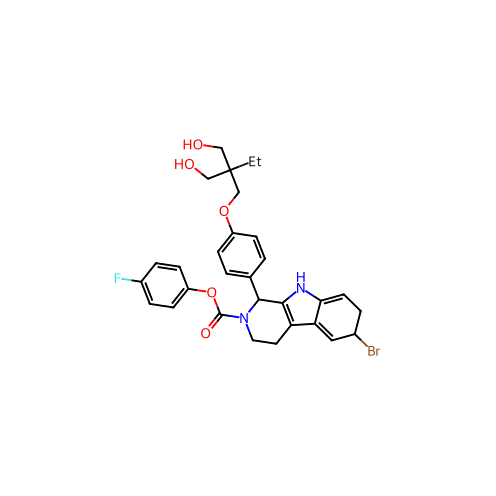 CCC(CO)(CO)COc1ccc(C2c3[nH]c4c(c3CCN2C(=O)Oc2ccc(F)cc2)=CC(Br)CC=4)cc1